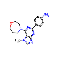 Cn1cnc2nc(-c3ccc(N)cc3)nc(N3CCCOCC3)c21